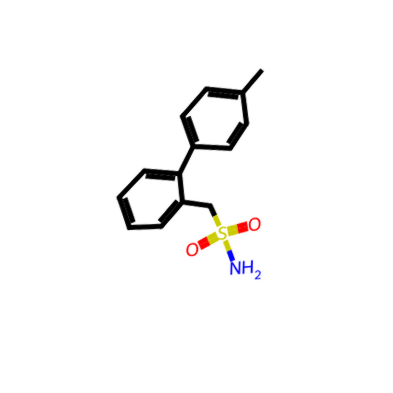 Cc1ccc(-c2ccccc2CS(N)(=O)=O)cc1